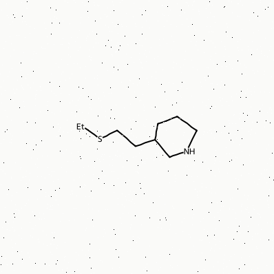 CCSCCC1CCCNC1